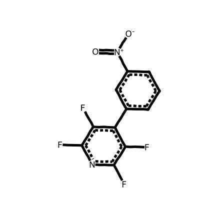 O=[N+]([O-])c1cccc(-c2c(F)c(F)nc(F)c2F)c1